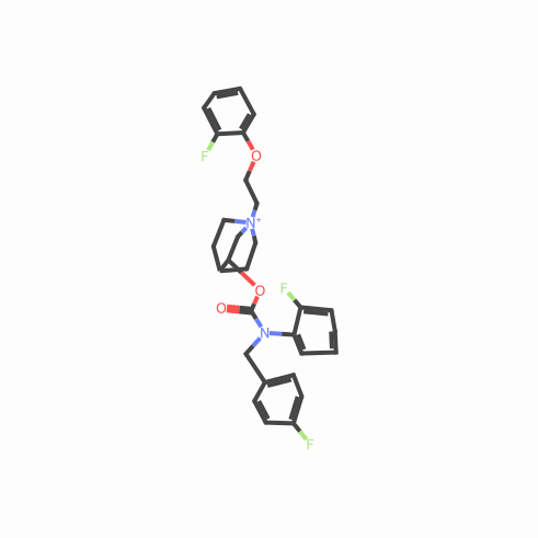 O=C(OC1C[N+]2(CCOc3ccccc3F)CCC1CC2)N(Cc1ccc(F)cc1)c1ccccc1F